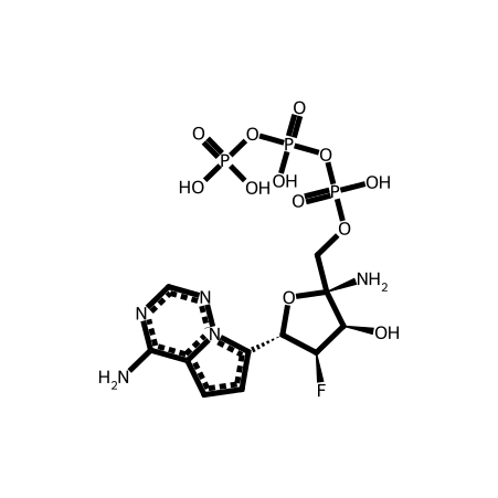 Nc1ncnn2c([C@@H]3O[C@](N)(COP(=O)(O)OP(=O)(O)OP(=O)(O)O)[C@@H](O)[C@H]3F)ccc12